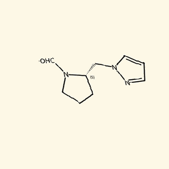 O=[C]N1CCC[C@H]1Cn1cccn1